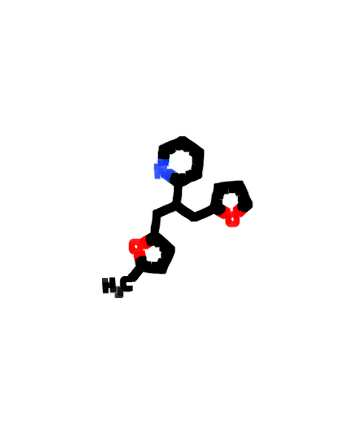 Cc1ccc(C[C](Cc2ccco2)c2ccccn2)o1